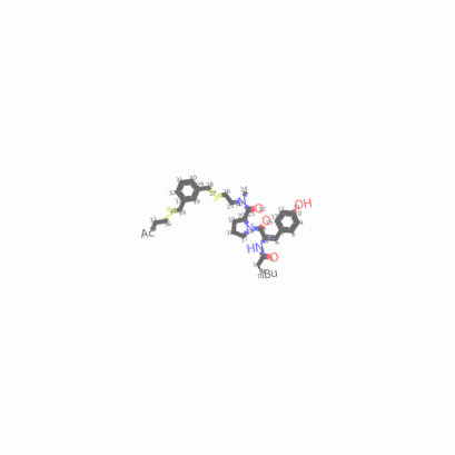 CC[C@H](C)CC(=O)N/C(=C/c1ccc(O)cc1)C(=O)N1CCCC1C(=O)N(C)CCSCc1cccc(CSCCC(C)=O)c1